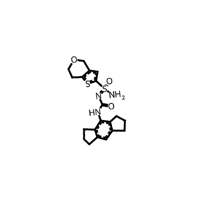 NS(=O)(=NC(=O)Nc1c2c(cc3c1CCC3)CCC2)c1cc2c(s1)CCOC2